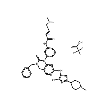 CN(C)C/C=C/C(=O)Nc1cccc(N2C(=O)N(Cc3ccccc3)Cc3cnc(Nc4cn(C5CCN(C)CC5)nc4Cl)nc32)c1.O=C(O)C(F)(F)F